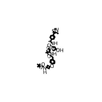 Cc1ncsc1-c1ccc([C@H](C)NC(=O)[C@@H]2C[C@@H](O)CN2C(=O)[C@@H](NC(=O)Cc2ccc(O[C@H]3C[C@H](NC(=O)OC(C)(C)C)C3)cc2)C(C)(C)C)cc1